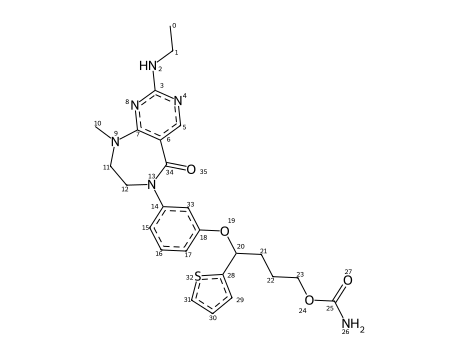 CCNc1ncc2c(n1)N(C)CCN(c1cccc(OC(CCCOC(N)=O)c3cccs3)c1)C2=O